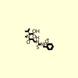 COc1ccccc1CNC(=S)NCCC(=O)N(C)[C@H](C(=O)O)C(C)C